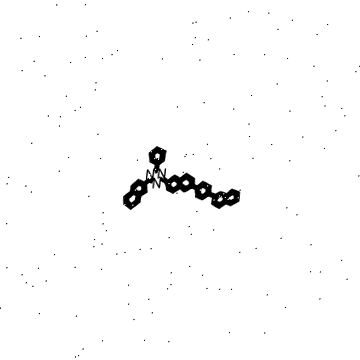 c1ccc(-c2nc(-c3ccc4ccccc4c3)nc(-c3ccc4cc(-c5ccc(-c6ccc7ccccc7c6)cc5)ccc4c3)n2)cc1